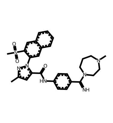 Cc1cc(C(=O)Nc2ccc(C(=N)N3CCCN(C)CC3)cc2)n(-c2cc3ccccc3cc2S(C)(=O)=O)n1